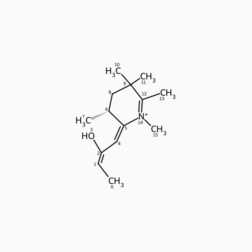 C/C=C(O)\C=C1/[C@H](C)CC(C)(C)C(C)=[N+]1C